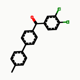 Cc1ccc(-c2ccc(C(=O)c3ccc(Cl)c(Cl)c3)cc2)cc1